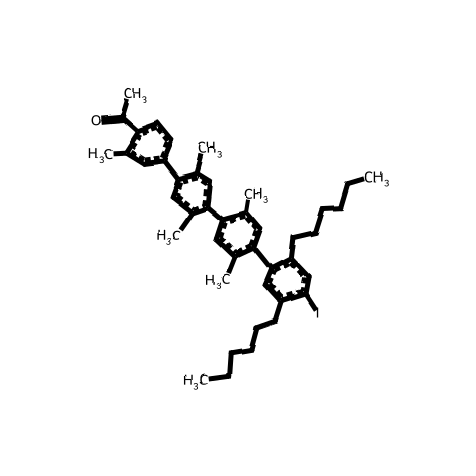 CCCCCCc1cc(-c2cc(C)c(-c3cc(C)c(-c4ccc(C(C)=O)c(C)c4)cc3C)cc2C)c(CCCCCC)cc1I